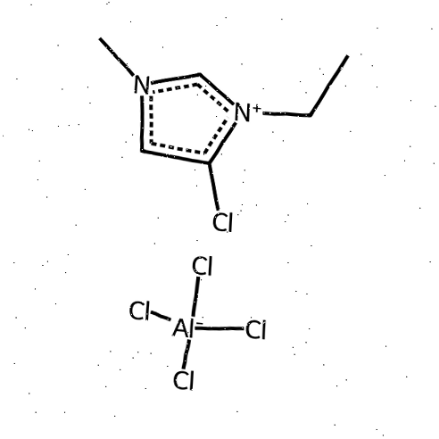 CC[n+]1cn(C)cc1Cl.[Cl][Al-]([Cl])([Cl])[Cl]